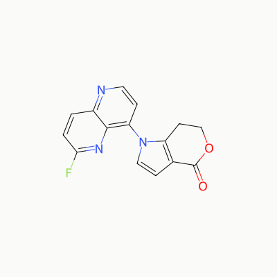 O=C1OCCc2c1ccn2-c1ccnc2ccc(F)nc12